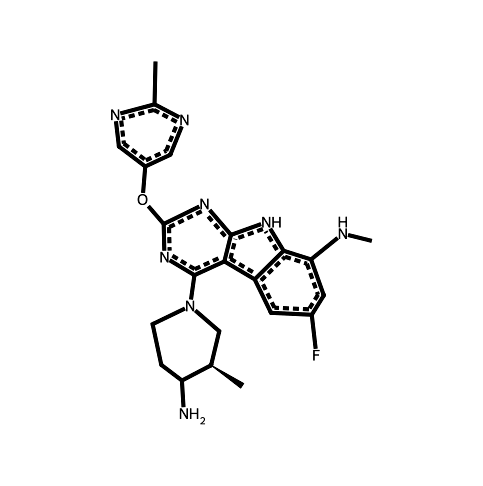 CNc1cc(F)cc2c1[nH]c1nc(Oc3cnc(C)nc3)nc(N3CCC(N)[C@H](C)C3)c12